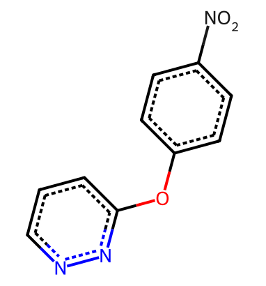 O=[N+]([O-])c1ccc(Oc2cccnn2)cc1